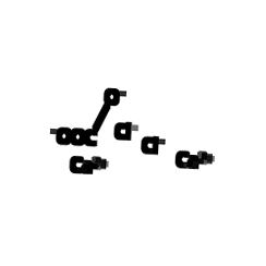 O=C([O-])[O-].[Ca+2].[Ca+2].[Cl-].[Cl-]